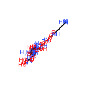 CNC(=O)[C@H](CCCCN(CC(=O)O)CC(=O)O)NC(=O)CCNC(=O)[C@H](Cc1c[nH]cn1)NC(=O)[C@H](CCC(N)=O)NC(=O)[C@H](CO)NC(=O)[C@H](CO)NC(=O)[C@H](CCC(N)=O)NC(=O)[C@@H](CO)NC(=O)CNC(=O)COCCOCCNC(=O)COCCOCCNC(=O)CCCCCCCCCCCCCCCc1nnn[nH]1